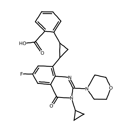 O=C(O)c1ccccc1C1CC1c1cc(F)cc2c(=O)n(C3CC3)c(N3CCOCC3)nc12